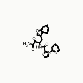 NC(=O)C(=O)C(Cc1coc2ccccc12)NC(=O)c1nccn1-c1ccccn1